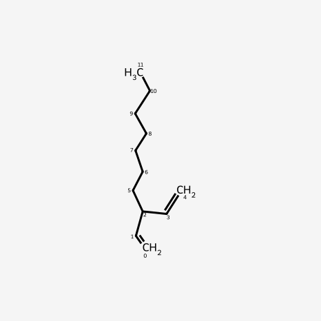 C=CC(C=C)CCCCCCC